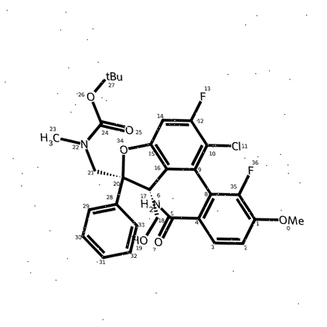 COc1ccc(C(N)=O)c(-c2c(Cl)c(F)cc3c2[C@H](CO)[C@@](CN(C)C(=O)OC(C)(C)C)(c2ccccc2)O3)c1F